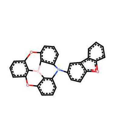 c1cc2c3c(c1)Oc1cccc4c1B3c1c(cccc1N4c1ccc3oc4ccccc4c3c1)O2